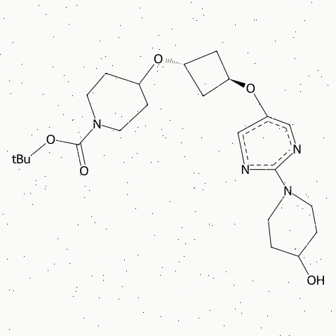 CC(C)(C)OC(=O)N1CCC(O[C@H]2C[C@H](Oc3cnc(N4CCC(O)CC4)nc3)C2)CC1